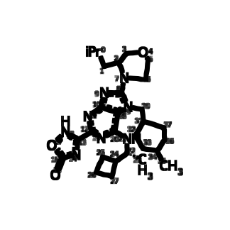 CC(C)CC1COCCN1c1nc2nc(-c3nc(=O)o[nH]3)nc(N[C@H](C)C3CCC3)c2n1CC1CCC(C)CC1